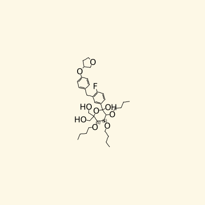 CCCCOC1[C@@H](OCCCC)[C@H](OCCCC)C(CO)(CO)OC1(O)c1ccc(F)c(Cc2ccc(OC3CCOC3)cc2)c1